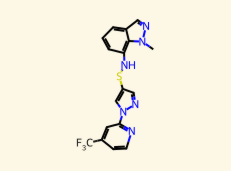 Cn1ncc2cccc(NSc3cnn(-c4cc(C(F)(F)F)ccn4)c3)c21